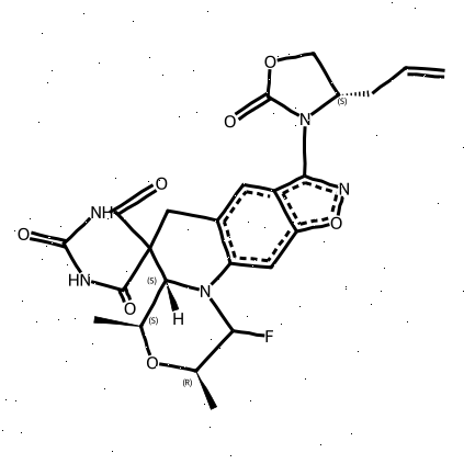 C=CC[C@H]1COC(=O)N1c1noc2cc3c(cc12)CC1(C(=O)NC(=O)NC1=O)[C@H]1[C@H](C)O[C@H](C)C(F)N31